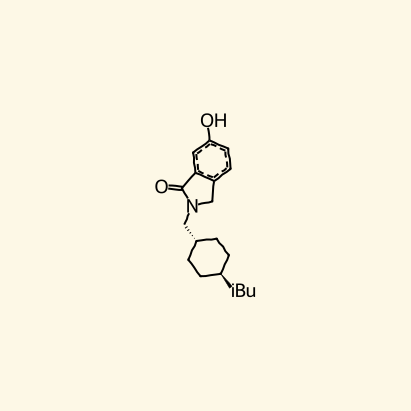 CCC(C)[C@H]1CC[C@H](CN2Cc3ccc(O)cc3C2=O)CC1